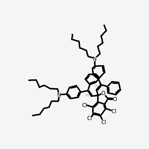 CCCCCCN(CCCCCC)c1ccc(/C(=C/C2(/C=C(\c3ccccc3)c3ccc(N(CCCCCC)CCCCCC)cc3)OC(=O)c3c(Cl)c(Cl)c(Cl)c(Cl)c32)c2ccccc2)cc1